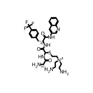 C[C@H](N)C(=O)NC(SCC[N+](C)(CCN)CCN)C(=O)N[C@H](Cc1ccc(C(F)(F)F)cc1)C(=O)Nc1cnc2ccccc2c1